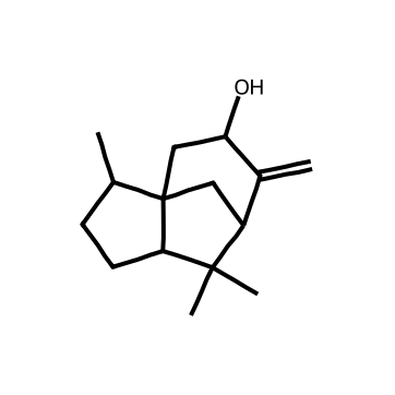 C=C1C(O)CC23CC1C(C)(C)C2CCC3C